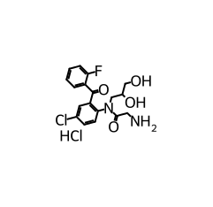 Cl.NCC(=O)N(CC(O)CO)c1ccc(Cl)cc1C(=O)c1ccccc1F